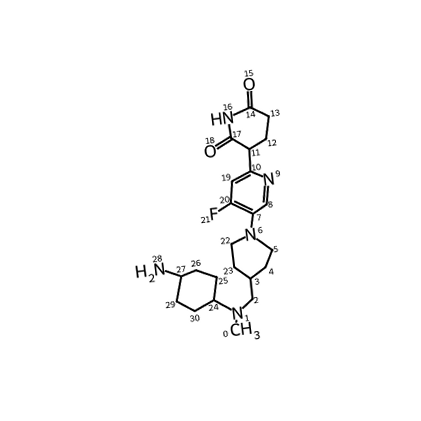 CN(CC1CCN(c2cnc(C3CCC(=O)NC3=O)cc2F)CC1)C1CCC(N)CC1